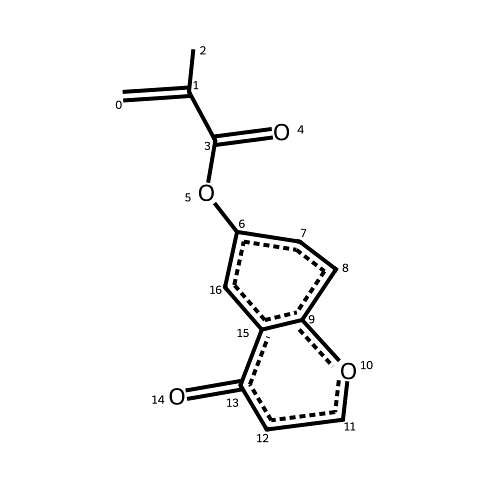 C=C(C)C(=O)Oc1ccc2occc(=O)c2c1